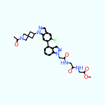 COC(=O)CNC(=O)CNC(=O)Cn1ncc2c(-c3cc4c(cnn4C4CC5(C4)CN(C(C)=O)C5)cc3F)cccc21